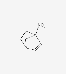 O=[N+]([O-])C12C=CC(CC1)C2